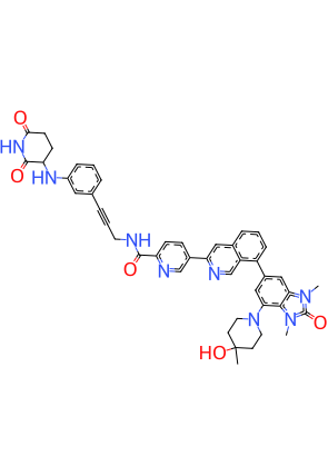 Cn1c(=O)n(C)c2c(N3CCC(C)(O)CC3)cc(-c3cccc4cc(-c5ccc(C(=O)NCC#Cc6cccc(NC7CCC(=O)NC7=O)c6)nc5)ncc34)cc21